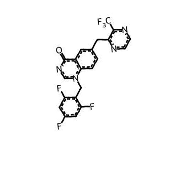 O=c1ncn(Cc2c(F)cc(F)cc2F)c2ccc(Cc3nccnc3C(F)(F)F)cc12